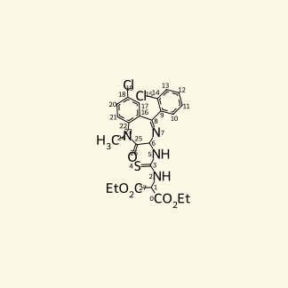 CCOC(=O)C(NC(=S)NC1N=C(c2ccccc2Cl)c2cc(Cl)ccc2N(C)C1=O)C(=O)OCC